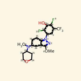 COc1nn(-c2cc(C(F)(F)F)c(F)c(O)c2F)c2ccc(N(C)C3CCOCC3)cc12